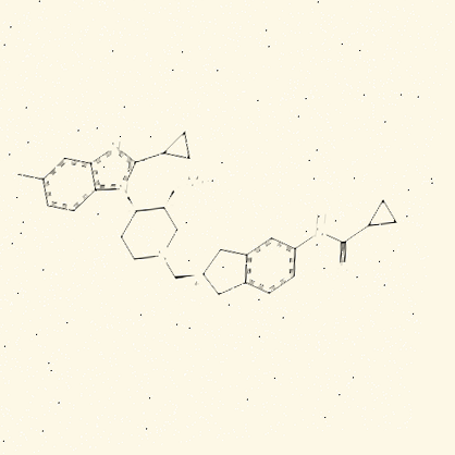 CO[C@H]1CN(C[C@@H]2Cc3ccc(NC(=O)C4CC4)cc3C2)CC[C@H]1n1c(C2CC2)nc2cc(C)ccc21